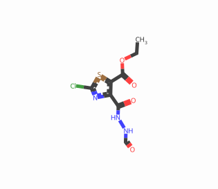 CCOC(=O)c1sc(Cl)nc1C(=O)NNC=O